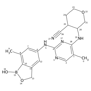 Cc1cnc(Nc2cc(C)c3c(c2)COB3O)nc1NC1COCCC1C#N